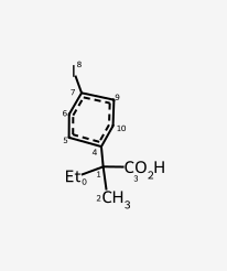 CCC(C)(C(=O)O)c1ccc(I)cc1